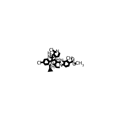 COC(=O)c1ccc2c(nc3n2CC[C@H]2[C@@H]3[C@H](c3ccnc(Cl)c3F)[C@]3(C(=O)Nc4cc(Cl)ccc43)N2CC2CC2)c1C